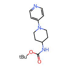 CC(C)(C)OC(=O)NC1CCN(c2ccncc2)CC1